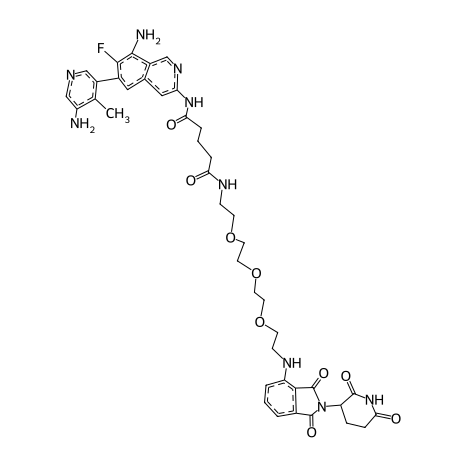 Cc1c(N)cncc1-c1cc2cc(NC(=O)CCCC(=O)NCCOCCOCCOCCNc3cccc4c3C(=O)N(C3CCC(=O)NC3=O)C4=O)ncc2c(N)c1F